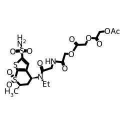 CCN(C(=O)CNC(=O)COC(=O)COC(=O)COC(C)=O)[C@H]1C[C@H](C)S(=O)(=O)c2sc(S(N)(=O)=O)cc21